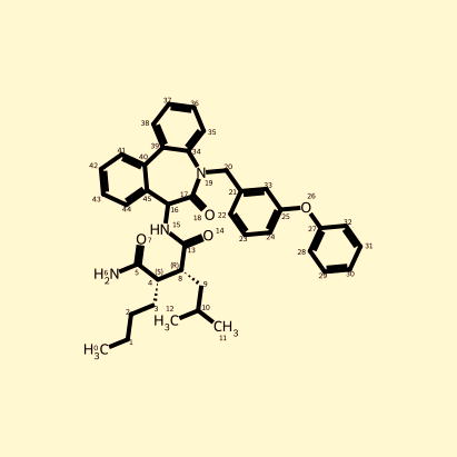 CCCC[C@H](C(N)=O)[C@@H](CC(C)C)C(=O)NC1C(=O)N(Cc2cccc(Oc3ccccc3)c2)c2ccccc2-c2ccccc21